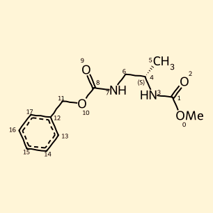 COC(=O)N[C@@H](C)CNC(=O)OCc1ccccc1